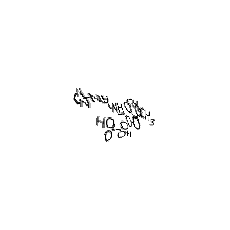 COc1cccc(OCCNCCCNc2ncccn2)c1OC.O=C(O)C(=O)O